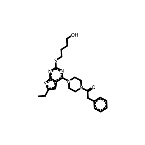 CCc1cc2c(N3CCN(C(=O)Cc4ccccc4)CC3)nc(SCCCCO)nc2s1